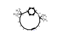 CC1(C)CC/C=C\CCCCCC(C)(C)c2ccc(cc2)S1